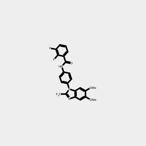 COc1cc2nc(C(F)(F)F)n(-c3ccc(NC(=O)c4cccc(F)c4F)cc3)c2cc1OC